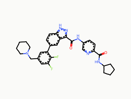 O=C(NC1CCCC1)c1ccc(NC(=O)c2n[nH]c3ccc(-c4cc(CN5CCCCC5)cc(F)c4F)cc23)cn1